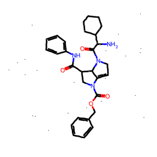 NC(C(=O)N1CC=C2C1C(C(=O)Nc1ccccc1)CN2C(=O)OCc1ccccc1)C1CCCCC1